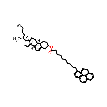 CC(C)CCC[C@@H](C)[C@H]1CC[C@H]2[C@@H]3CC=C4C[C@@H](OC(=O)CCCCCCCCCc5ccc6ccc7cccc8ccc5c6c78)CC[C@]4(C)[C@H]3CC[C@]12C